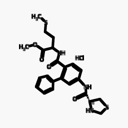 COC(=O)C(CCSC)NC(=O)c1ccc(NC(=O)[C@@H]2CSCN2)cc1-c1ccccc1.Cl